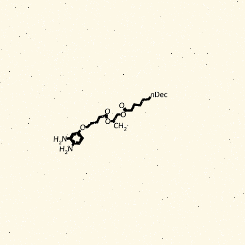 [CH2]C(COC(=O)CCCCCCCCCCCCCCC)OC(=O)CCCCOc1ccc(N)c(N)c1